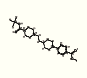 COC(=O)c1ccc(N2CCC(CCN3CCN(C(=O)OC(C)(C)C)CC3)CC2)nn1